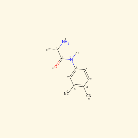 C[C@H](N)C(=O)N(C)c1ccc(C#N)c(C#N)c1